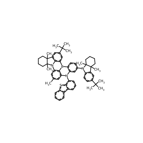 Cc1cc2c3c(c1)N1c4c(cc(C(C)(C)C)cc4C4(C)CCCCC14C)B3c1ccc(N3c4ccc(C(C)(C)C)cc4C4(C)CCCCC34C)cc1N2c1cccc2c1sc1ccccc12